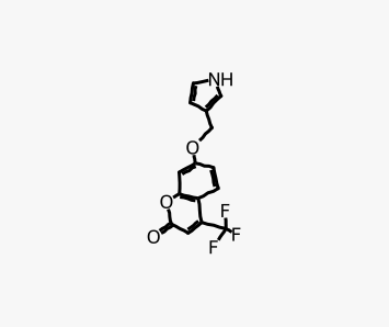 O=c1cc(C(F)(F)F)c2ccc(OCc3cc[nH]c3)cc2o1